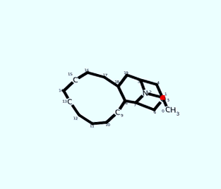 CCN1C2COCC1C1CCCCCCCCCC1C2